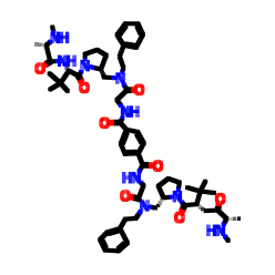 CN[C@@H](C)C(=O)C[C@H](C(=O)N1CCC[C@H]1CN(CCc1ccccc1)C(=O)CNC(=O)c1ccc(C(=O)NCC(=O)N(CCc2ccccc2)C[C@@H]2CCCN2C(=O)[C@@H](NC(=O)[C@H](C)NC)C(C)(C)C)cc1)C(C)(C)C